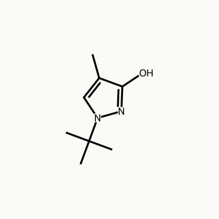 Cc1cn(C(C)(C)C)nc1O